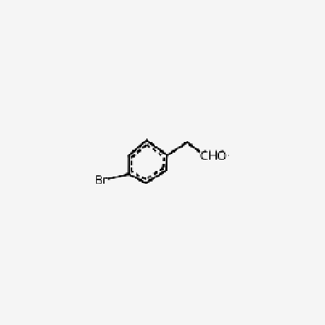 O=[C]Cc1ccc(Br)cc1